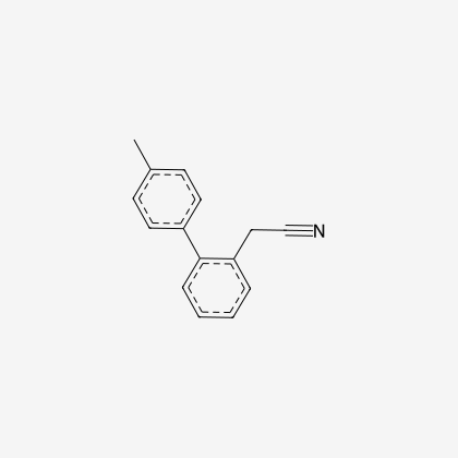 Cc1ccc(-c2ccccc2CC#N)cc1